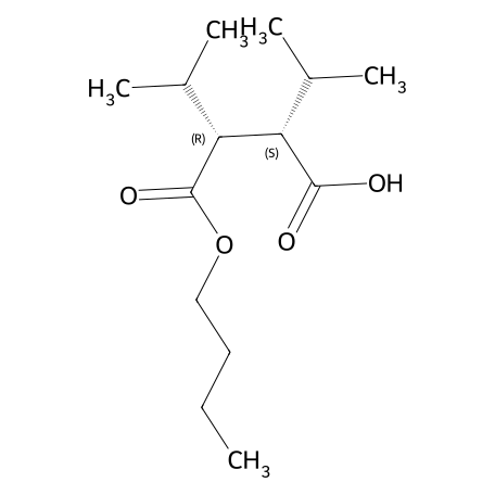 CCCCOC(=O)[C@H](C(C)C)[C@@H](C(=O)O)C(C)C